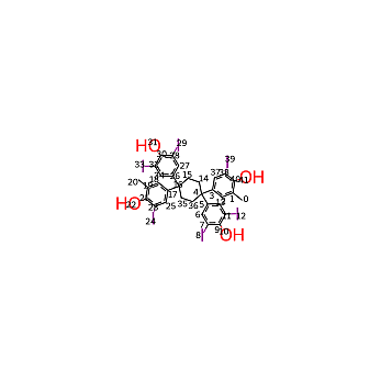 Cc1cc(C2(c3cc(I)c(O)c(I)c3)CCC(c3cc(C)c(O)c(I)c3)(c3cc(I)c(O)c(I)c3)CC2)cc(I)c1O